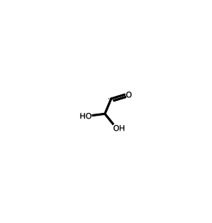 O=[C]C(O)O